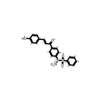 O=C(/C=C/c1ccc(O)cc1)c1ccc(N([N+](=O)[O-])S(=O)(=O)c2ccccc2)cc1